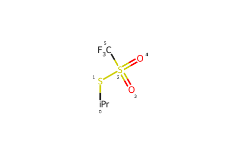 CC(C)SS(=O)(=O)C(F)(F)F